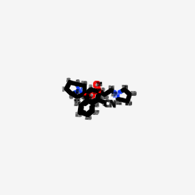 N#Cc1ccc(N2C3CCC2CC(OC(=O)CCN2CCCC2)C3)c2ccccc12